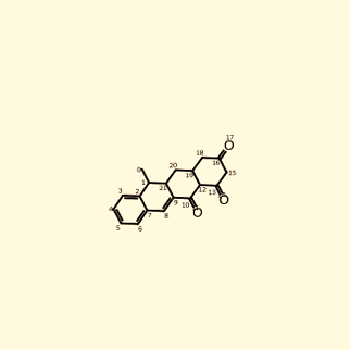 CC1c2ccccc2C=C2C(=O)C3C(=O)CC(=O)CC3CC21